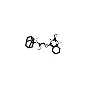 O=C(COc1nc(=O)[nH]c2c1CCCC2)NC12CC3CC(CC(C3)C1)C2